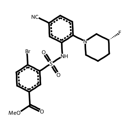 COC(=O)c1ccc(Br)c(S(=O)(=O)Nc2cc(C#N)ccc2N2CCC[C@@H](F)C2)c1